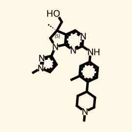 Cc1cc(Nc2ncc3c(n2)N(c2ccn(C)n2)C[C@@]3(C)CO)ccc1C1CCN(C)CC1